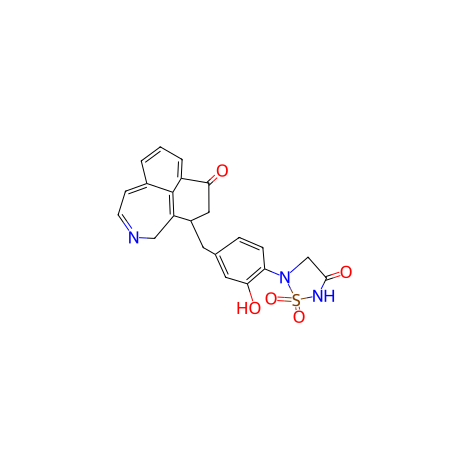 O=C1CN(c2ccc(CC3CC(=O)c4cccc5c4=C3CN=CC=5)cc2O)S(=O)(=O)N1